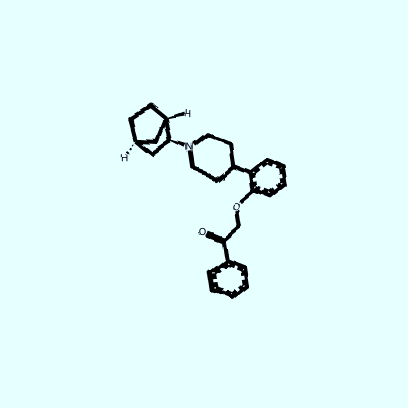 O=C(COc1ccccc1C1CCN([C@H]2C[C@H]3CC[C@H]2C3)CC1)c1ccccc1